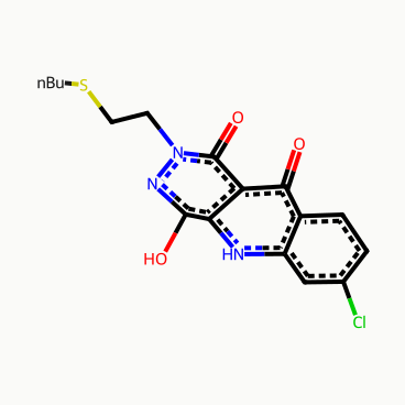 CCCCSCCn1nc(O)c2[nH]c3cc(Cl)ccc3c(=O)c2c1=O